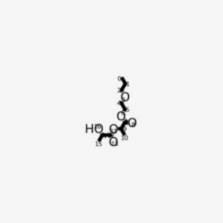 CCCOCCOC(=O)C(C)OC(=O)C(C)O